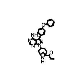 C=CC(=O)C12CCC(n3nc(-c4ccc(Oc5ccccc5)cc4)c4c(N)ncnc43)CC(C1)N2